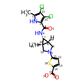 Cc1[nH]c(C(=O)N[C@@H]2[C@@H]3CN(c4ccc(C(=O)[O-])s4)C[C@@H]32)c(Cl)c1Cl.[Li+]